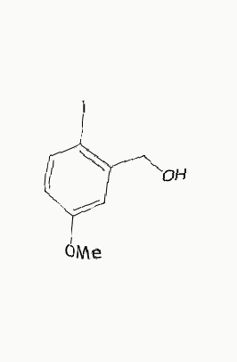 COc1ccc(I)c(CO)c1